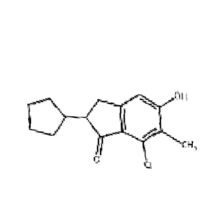 Cc1c(O)cc2c(c1Cl)C(=O)C(C1CCCC1)C2